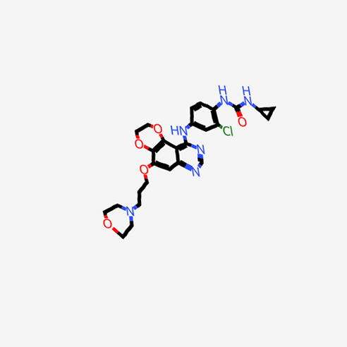 O=C(Nc1ccc(Nc2ncnc3cc(OCCCN4CCOCC4)c4c(c23)OCCO4)cc1Cl)NC1CC1